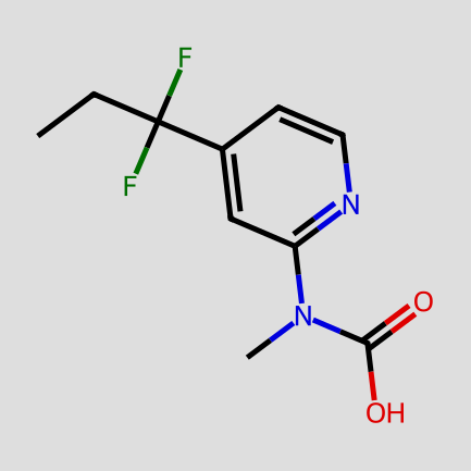 CCC(F)(F)c1ccnc(N(C)C(=O)O)c1